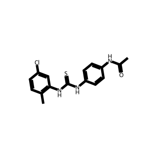 CC(=O)Nc1ccc(NC(=S)Nc2cc(Cl)ccc2C)cc1